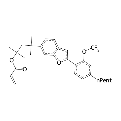 C=CC(=O)OC(C)(C)CC(C)(C)c1ccc2cc(-c3ccc(CCCCC)cc3OC(F)(F)F)oc2c1